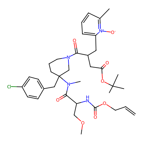 C=CCOC(=O)NC(COC)C(=O)N(C)C1(Cc2ccc(Cl)cc2)CCCN(C(=O)C(CC(=O)OC(C)(C)C)Cc2cccc(C)[n+]2[O-])C1